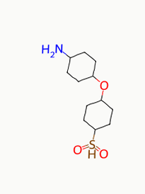 NC1CCC(OC2CCC([SH](=O)=O)CC2)CC1